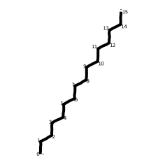 [CH2]CCCCC[CH]CCCCCCCC[CH2]